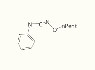 CCCCCON=C=Nc1ccccc1